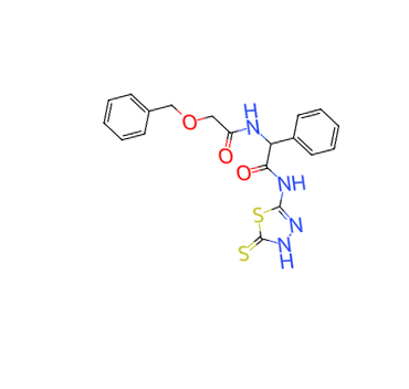 O=C(COCc1ccccc1)NC(C(=O)Nc1n[nH]c(=S)s1)c1ccccc1